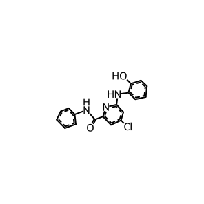 O=C(Nc1ccccc1)c1cc(Cl)cc(Nc2ccccc2O)n1